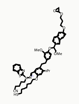 CCCc1cc(OCCCCCCS)c(/C=N/N(CCCCC#N)c2nc3ccccc3s2)cc1CCc1ccc(OC(COC)c2ccc3cc(OCCCOC4CO4)ccc3c2)c(OC)c1